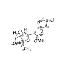 CC#CC(C)(COC)NC(=O)CC(OC)Oc1cncc(Cl)c1